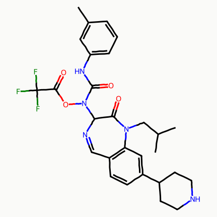 Cc1cccc(NC(=O)N(OC(=O)C(F)(F)F)C2N=Cc3ccc(C4CCNCC4)cc3N(CC(C)C)C2=O)c1